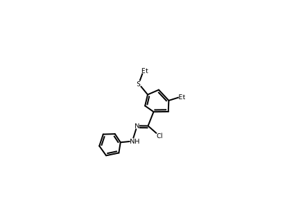 CCSc1cc(CC)cc(C(Cl)=NNc2ccccc2)c1